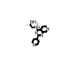 C[C@H](N)CNc1nc(-c2ccncc2)nc2cnccc12